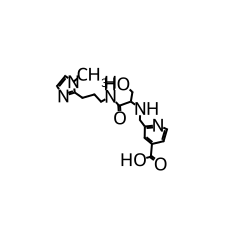 Cn1ccnc1CCCNC(=O)C(CO)NCc1cc(C(=O)O)ccn1